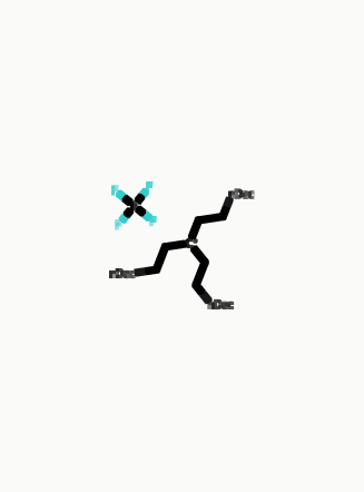 CCCCCCCCCCCC[C+](CCCCCCCCCCCC)CCCCCCCCCCCC.F[B-](F)(F)F